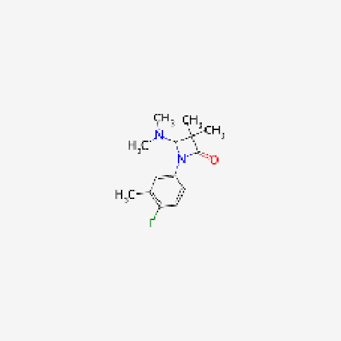 Cc1cc(N2C(=O)C(C)(C)C2N(C)C)ccc1F